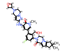 Cn1cc(-c2cc(F)cc(N3CCn4c(cc5c4CC(C)(C)C5)C3=O)c2CO)cc(Nc2cc3n(n2)CCN(C2COC2)C3)c1=O